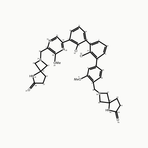 COc1cc(-c2cccc(-c3cccc(-c4cnc(CN5CC6(CCC(=O)N6)C5)c(OC)n4)c3Cl)c2Cl)ccc1CN1CC2(CCC(=O)N2)C1